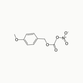 COc1ccc(COC(=O)O[N+](=O)[O-])cc1